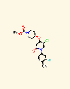 CC(C)OC(=O)N1CCC(Oc2cc(=O)n(-c3ccc(C#N)c(F)c3)cc2Cl)CC1